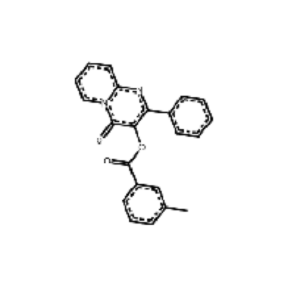 Cc1cccc(C(=O)Oc2c(-c3ccccc3)nc3ccccn3c2=O)c1